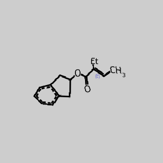 C/C=C(\CC)C(=O)OC1Cc2ccccc2C1